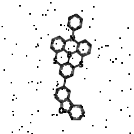 c1ccc(N2c3cccc4c3B3c5c(cc(-c6ccc7oc8ccccc8c7c6)cc5Sc5cccc2c53)S4)cc1